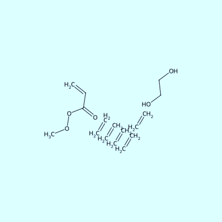 C=C.C=C.C=C.C=C.C=C.C=CC(=O)OOC.OCCO